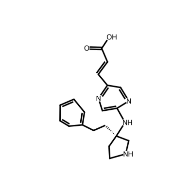 O=C(O)/C=C/c1cnc(N[C@]2(CCc3ccccc3)CCNC2)cn1